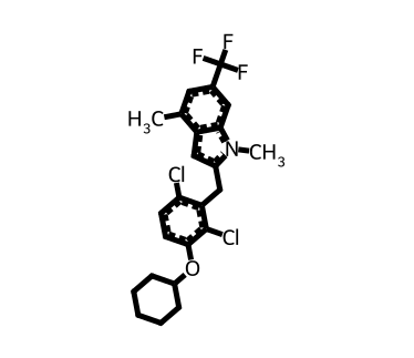 Cc1cc(C(F)(F)F)cc2c1cc(Cc1c(Cl)ccc(OC3CCCCC3)c1Cl)n2C